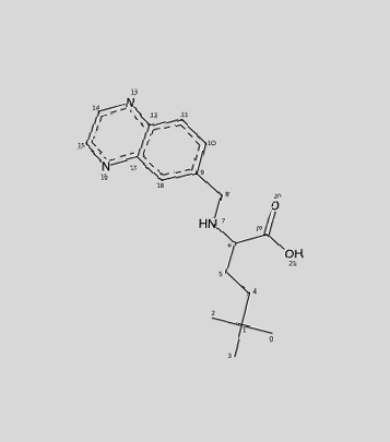 CC(C)(C)CCC(NCc1ccc2nccnc2c1)C(=O)O